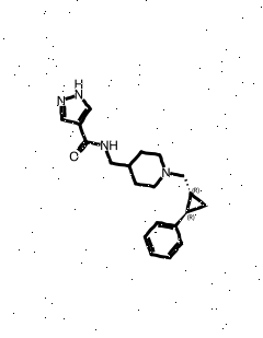 O=C(NCC1CCN(C[C@@H]2C[C@H]2c2ccccc2)CC1)c1cn[nH]c1